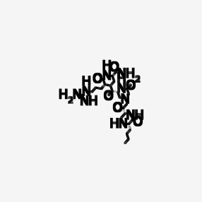 CCCC[C@@H]1NC[C@H](C(=O)CN2CC(=O)N[C@@H](C(=O)C3C[C@H](C(N)=O)NC(=O)[C@@H]3CCCNC(=N)N)C2)NC1=O